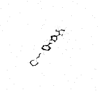 CCC1CC(=O)NN=C1c1ccc2nc(-c3ccc(OCCCN4CCCCC4)cc3)oc2c1